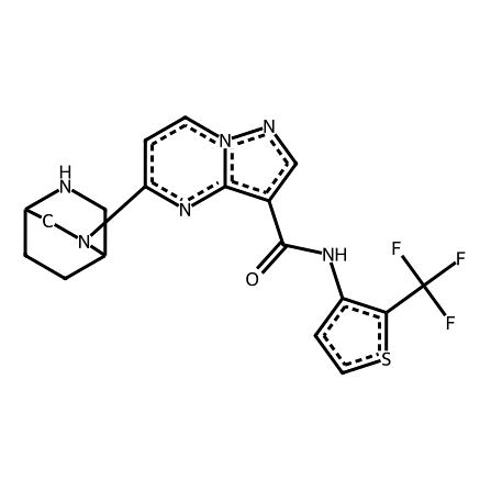 O=C(Nc1ccsc1C(F)(F)F)c1cnn2ccc(N3CC4CCC3CN4)nc12